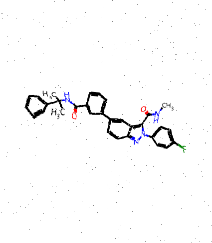 CNC(=O)c1c2cc(-c3cccc(C(=O)NC(C)(C)c4ccccc4)c3)ccc2nn1-c1ccc(F)cc1